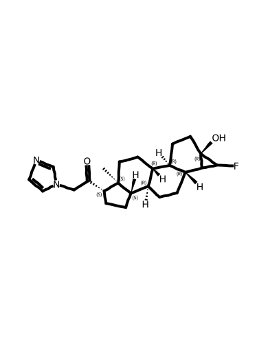 C[C@]12CC[C@@H]3[C@H]4CC[C@]5(O)C(F)C5[C@@H]4CC[C@H]3[C@@H]1CC[C@@H]2C(=O)Cn1ccnc1